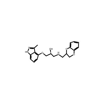 Cc1n[nH]c2cccc(OC[C@@H](O)CNCC3COc4ccccc4O3)c12